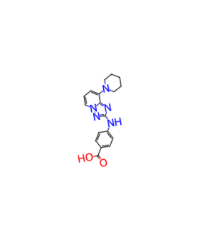 O=C(O)c1ccc(Nc2nc3c(N4CCCCC4)cccn3n2)cc1